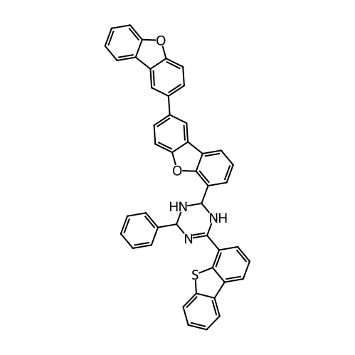 c1ccc(C2N=C(c3cccc4c3sc3ccccc34)NC(c3cccc4c3oc3ccc(-c5ccc6oc7ccccc7c6c5)cc34)N2)cc1